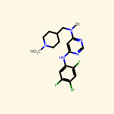 CCN(CC1CCN(C(=O)O)CC1)c1cc(Nc2cc(F)c(Br)cc2F)ncn1